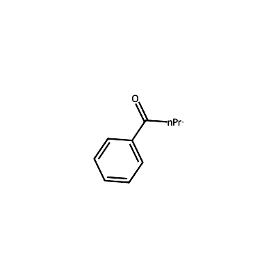 CC[CH]C(=O)c1ccccc1